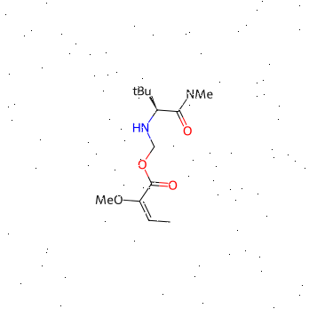 C/C=C(/OC)C(=O)OCN[C@H](C(=O)NC)C(C)(C)C